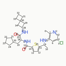 Cc1ncc(Cl)cc1NC(C)c1ccc(C(=O)NC(CC2CCCC2)C(=O)NC2CC3(CCC3)C2)s1